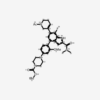 COc1cc(N2CCN(C(=O)OC(C)(C)C)CC2)ccc1-c1cc(C2=CCCN(C(C)=O)C2)c(F)c2[nH]c(C(=O)N(C)C)cc12